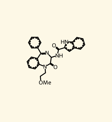 COCCN1C(=O)C(NC(=O)c2cc3ccccc3[nH]2)N=C(c2ccccc2)c2ccccc21